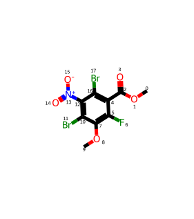 COC(=O)c1c(F)c(OC)c(Br)c([N+](=O)[O-])c1Br